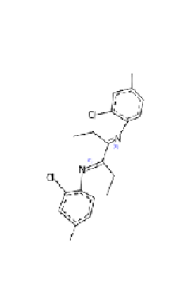 CCC(=N\c1ccc(C)cc1Cl)/C(CC)=N/c1ccc(C)cc1Cl